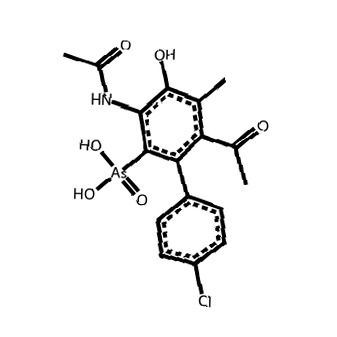 CC(=O)Nc1c(O)c(C)c(C(C)=O)c(-c2ccc(Cl)cc2)c1[As](=O)(O)O